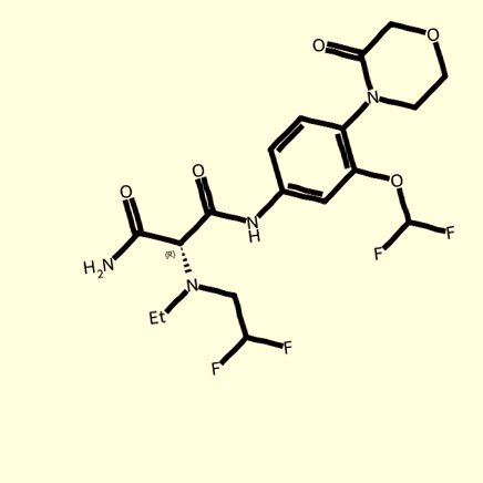 CCN(CC(F)F)[C@H](C(N)=O)C(=O)Nc1ccc(N2CCOCC2=O)c(OC(F)F)c1